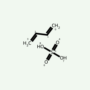 C=CC=C.O=S(=O)(O)O